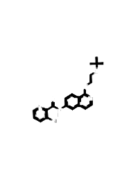 CC(C)(C)OCCOc1nccc2cc(NC(=O)c3ncccc3N)ccc12